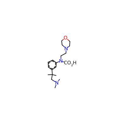 CN(C)CC(C)(C)c1cccc(N(CCN2CCOCC2)C(=O)O)c1